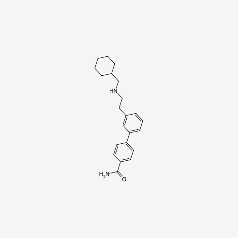 NC(=O)c1ccc(-c2cccc(CCNCC3CCCCC3)c2)cc1